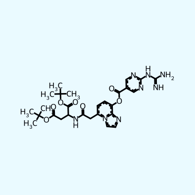 CC(C)(C)OC(=O)CC(NC(=O)Cc1ccc(OC(=O)c2cnc(NC(=N)N)nc2)c2nccn12)C(=O)OC(C)(C)C